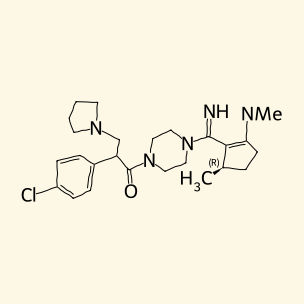 CNC1=C(C(=N)N2CCN(C(=O)C(CN3CCCC3)c3ccc(Cl)cc3)CC2)[C@H](C)CC1